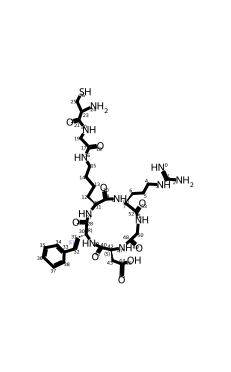 N=C(N)NCCC[C@@H]1NC(=O)[C@H](CCCCNC(=O)CNC(=O)C(N)CS)NC(=O)[C@@H](/C=C/c2ccccc2)NC(=O)[C@H](CC(=O)O)NC(=O)CNC1=O